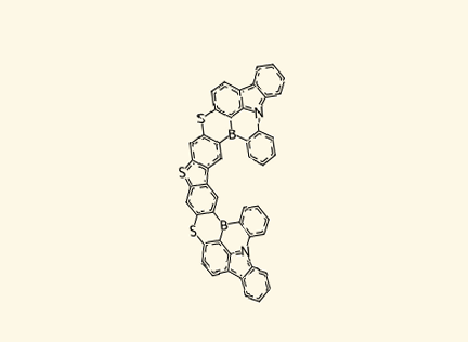 c1ccc2c(c1)B1c3cc4c(cc3Sc3ccc5c6ccccc6n-2c5c31)sc1cc2c(cc14)B1c3ccccc3-n3c4ccccc4c4ccc(c1c43)S2